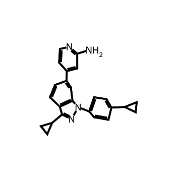 Nc1cc(-c2ccc3c(C4CC4)nn(-c4ccc(C5CC5)cc4)c3c2)ccn1